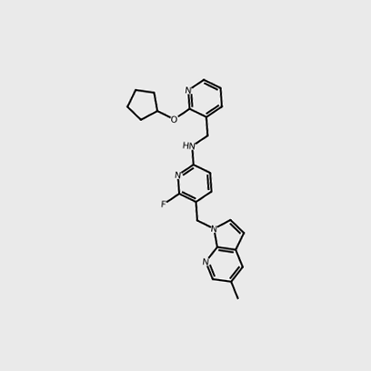 Cc1cnc2c(ccn2Cc2ccc(NCc3cccnc3OC3CCCC3)nc2F)c1